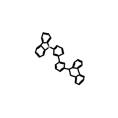 c1cc(-c2cccc(-n3c4ccccc4c4ccccc43)c2)cc(C2Cc3ccccc3-c3ccccc32)c1